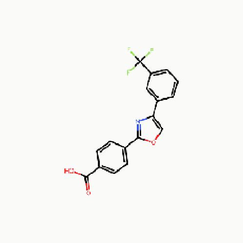 O=C(O)c1ccc(-c2nc(-c3cccc(C(F)(F)F)c3)co2)cc1